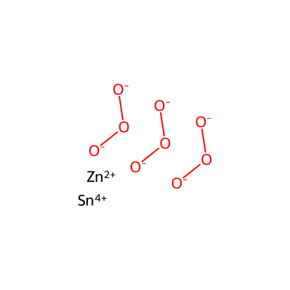 [O-]O[O-].[O-]O[O-].[O-]O[O-].[Sn+4].[Zn+2]